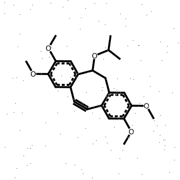 COc1cc2c(cc1OC)CC(OC(C)C)c1cc(OC)c(OC)cc1C#C2